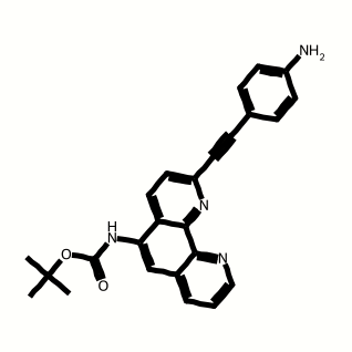 CC(C)(C)OC(=O)Nc1cc2cccnc2c2nc(C#Cc3ccc(N)cc3)ccc12